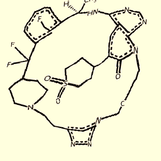 C[C@H]1Nc2ncnc3c2cc(C2CCS(=O)(=O)CC2)c(=O)n3CCCCn2cc(nn2)CN2CCC(CC2)C(F)(F)c2cccc1c2F